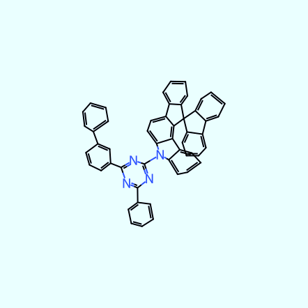 c1ccc(-c2cccc(-c3nc(-c4ccccc4)nc(-n4c5ccccc5c5c6c(ccc54)-c4ccccc4C64c5ccccc5-c5ccccc54)n3)c2)cc1